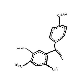 COc1ccc(C(=O)c2cc(OC)c(OC)cc2O)cc1